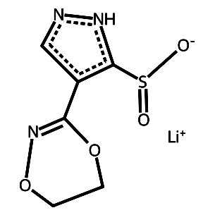 O=S([O-])c1[nH]ncc1C1=NOCCO1.[Li+]